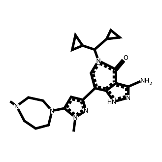 CN1CCCN(c2cc(-c3cn(C(C4CC4)C4CC4)c(=O)c4c(N)n[nH]c34)nn2C)CC1